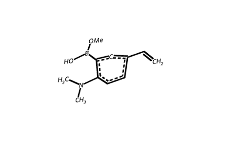 C=Cc1ccc(N(C)C)c(B(O)OC)c1